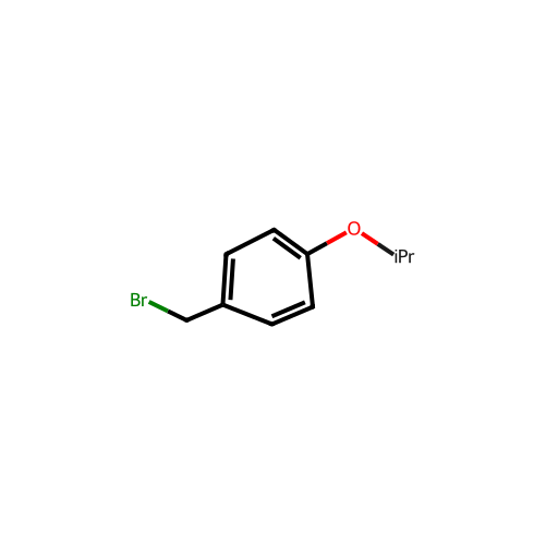 CC(C)Oc1ccc(CBr)cc1